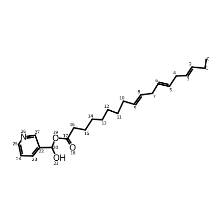 CCC=CCC=CCC=CCCCCCCCC(=O)OC(O)c1cccnc1